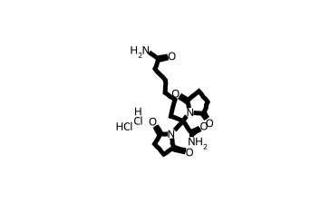 Cl.Cl.NC(=O)CCCCCC(C(N)=O)(N1C(=O)CCC1=O)N1C(=O)CCC1=O